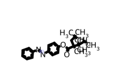 CCC(C)(C)C(C)(CC(C)(C)C)C(=O)Oc1ccc(/N=N/c2ccccc2)cc1